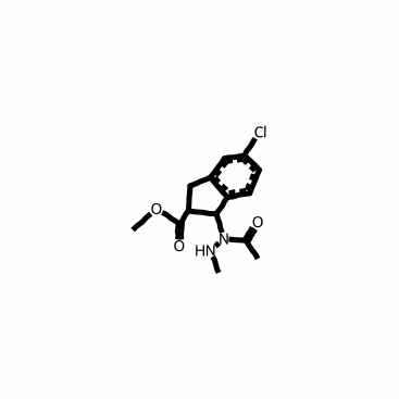 CNN(C(C)=O)C1c2ccc(Cl)cc2CC1C(=O)OC